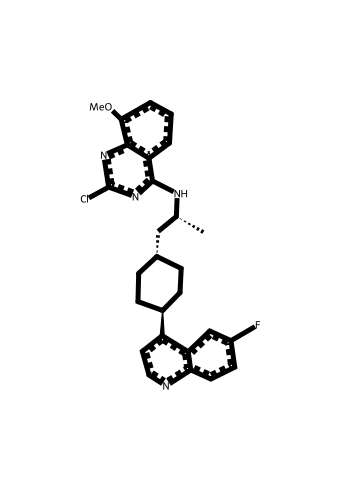 COc1cccc2c(N[C@H](C)C[C@H]3CC[C@H](c4ccnc5ccc(F)cc54)CC3)nc(Cl)nc12